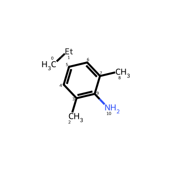 CCC.Cc1cccc(C)c1N